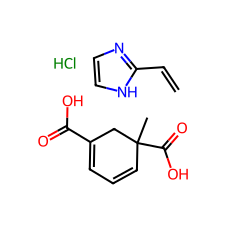 C=Cc1ncc[nH]1.CC1(C(=O)O)C=CC=C(C(=O)O)C1.Cl